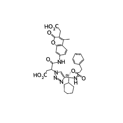 Cc1c(CC(=O)O)c(=O)oc2cc(NC(=O)C(CC(=O)O)n3cc([C@@](C)(NS(=O)(=O)Cc4ccccc4)C4CCCCC4)nn3)ccc12